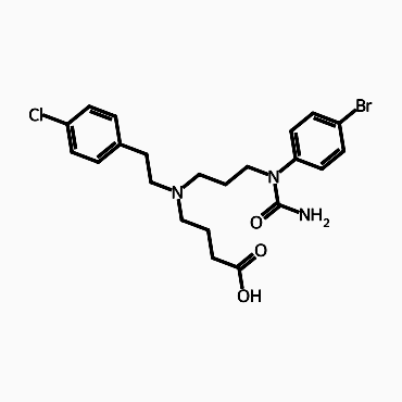 NC(=O)N(CCCN(CCCC(=O)O)CCc1ccc(Cl)cc1)c1ccc(Br)cc1